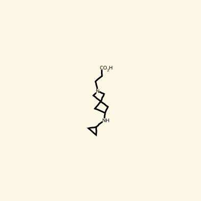 O=C(O)CCN1CC2(CC(NC3CC3)C2)C1